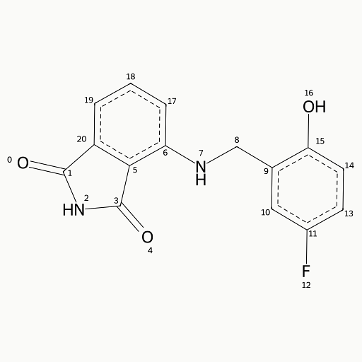 O=C1NC(=O)c2c(NCc3cc(F)ccc3O)cccc21